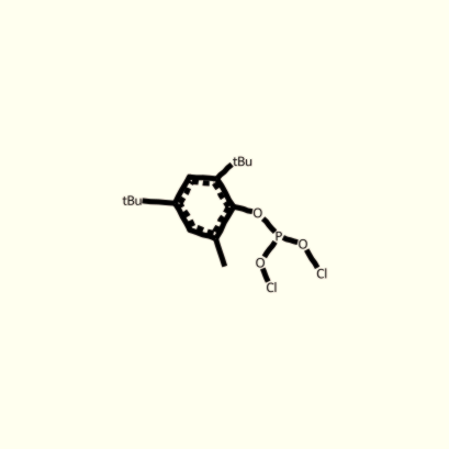 Cc1cc(C(C)(C)C)cc(C(C)(C)C)c1OP(OCl)OCl